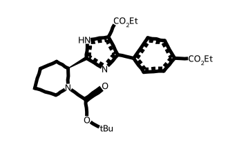 CCOC(=O)c1ccc(-c2nc([C@@H]3CCCCN3C(=O)OC(C)(C)C)[nH]c2C(=O)OCC)cc1